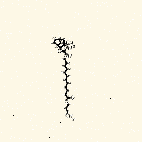 CCCCOC(=O)CCCCCCCCCCCNC(=O)NC1(C)CC2CCC(C2)C1